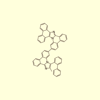 Cc1nc2c3ccccc3c3ccc(-c4ccc5c6ccccc6c6nc7c8ccccc8c8ccccc8c7n6c5c4)cc3n2c1-c1ccccc1-c1ccccc1